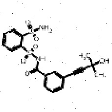 CC(C)(O)C#Cc1cccc(C(=O)NS(=O)(=O)c2ccccc2S(N)(=O)=O)c1